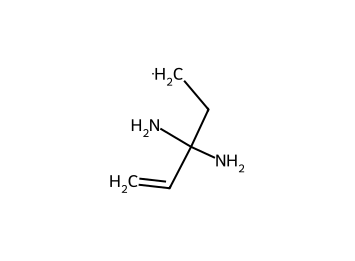 [CH2]CC(N)(N)C=C